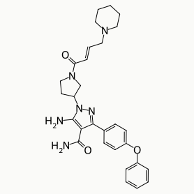 NC(=O)c1c(-c2ccc(Oc3ccccc3)cc2)nn(C2CCN(C(=O)C=CCN3CCCCC3)C2)c1N